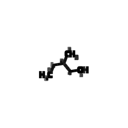 C[CH]C(C)CO